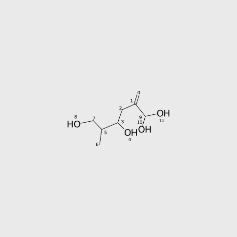 C=C(CC(O)C(C)CO)C(O)O